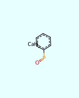 O=Pc1ccccc1.[CaH2]